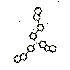 c1cc(-c2cccc(N(c3ccc(-c4ccc5ccccc5c4)cc3)c3ccc4c(c3)sc3ccccc34)c2)cc(-c2ccc3ccccc3c2)c1